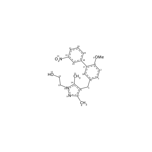 COc1ccc(Cc2c(C)nn(CCO)c2C)cc1-c1cccc([N+](=O)[O-])c1